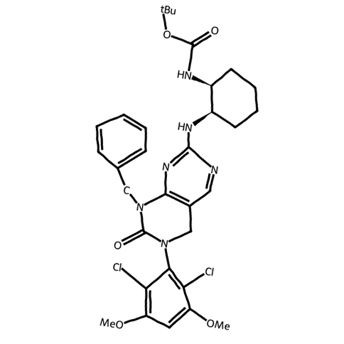 COc1cc(OC)c(Cl)c(N2Cc3cnc(N[C@@H]4CCCC[C@@H]4NC(=O)OC(C)(C)C)nc3N(Cc3ccccc3)C2=O)c1Cl